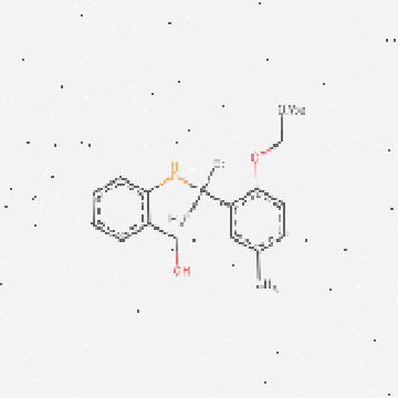 CCC(C)(Pc1ccccc1CO)c1cc(C)ccc1OCOC